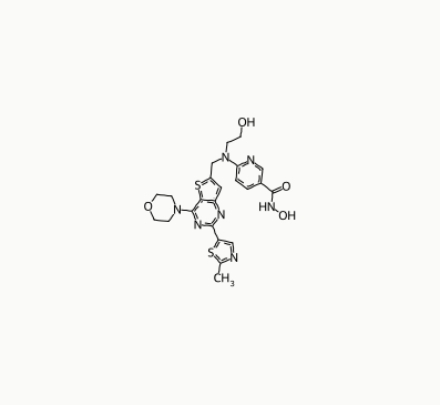 Cc1ncc(-c2nc(N3CCOCC3)c3sc(CN(CCO)c4ccc(C(=O)NO)cn4)cc3n2)s1